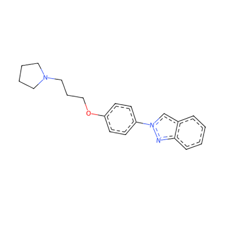 c1ccc2nn(-c3ccc(OCCCN4CCCC4)cc3)cc2c1